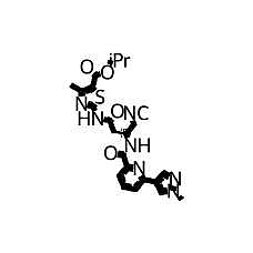 Cc1nc(NC(=O)C[C@@H](CC#N)NC(=O)c2cccc(-c3cnn(C)c3)n2)sc1C(=O)OC(C)C